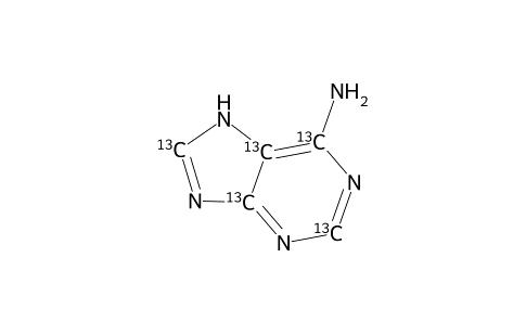 N[13c]1n[13cH]n[13c]2n[13cH][nH][13c]12